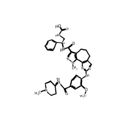 COc1cc(C(=O)NC2CCN(C)CC2)ccc1Nc1ncc2c(n1)-c1c(c(C(=O)N[C@H](CNC(=O)O)c3ccccc3)nn1C)CCC2